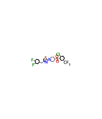 O=S(=O)(c1cc(C(F)(F)F)ccc1Cl)C1CCN(c2nc(Cc3ccc(F)c(F)c3)cs2)CC1